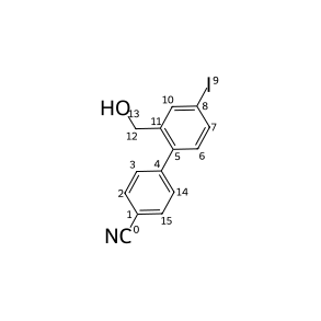 N#Cc1ccc(-c2ccc(I)cc2CO)cc1